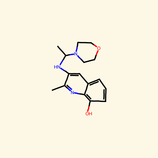 Cc1nc2c(O)cccc2cc1NC(C)N1CCOCC1